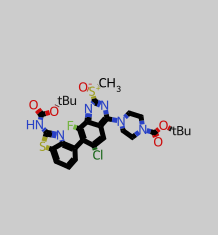 C[S+]([O-])c1nc(N2CCN(C(=O)OC(C)(C)C)CC2)c2cc(Cl)c(-c3cccc4sc(NC(=O)OC(C)(C)C)nc34)c(F)c2n1